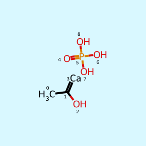 C[C](O)=[Ca].O=P(O)(O)O